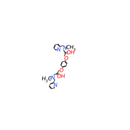 CN(Cc1ccccn1)C[C@H](O)COc1ccc(OC[C@H](O)CN(C)Cc2ccccn2)cc1